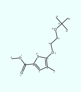 COC(=O)c1cc(C)c(OCCOC(C)(C)C)s1